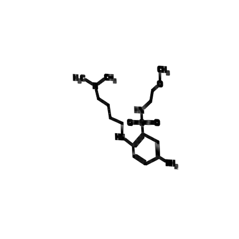 COCCNS(=O)(=O)c1cc(N)ccc1NCCCCN(C)C